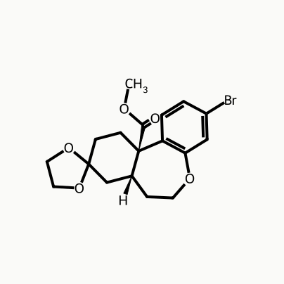 COC(=O)[C@]12CCC3(C[C@H]1CCOc1cc(Br)ccc12)OCCO3